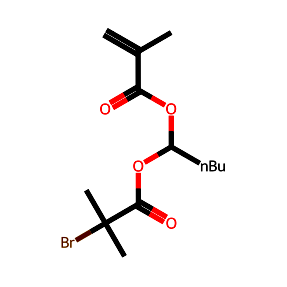 C=C(C)C(=O)OC(CCCC)OC(=O)C(C)(C)Br